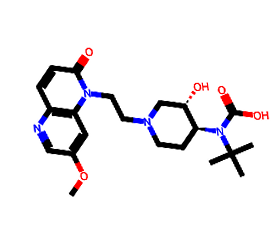 COc1cnc2ccc(=O)n(CCN3CC[C@H](N(C(=O)O)C(C)(C)C)[C@@H](O)C3)c2c1